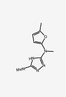 CNc1nnc(N(C)c2ccc(C)o2)[nH]1